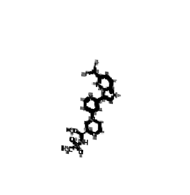 CC(NS(C)(=O)=O)[C@@H]1CN(c2cc(-c3cnc4ccc(C(F)F)nn34)ncn2)CCO1